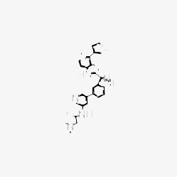 CN(C)CC(=O)Nc1cncc(-c2ccc3[nH]nc(-c4nc5c(-c6ccsc6)nccc5[nH]4)c3c2)c1